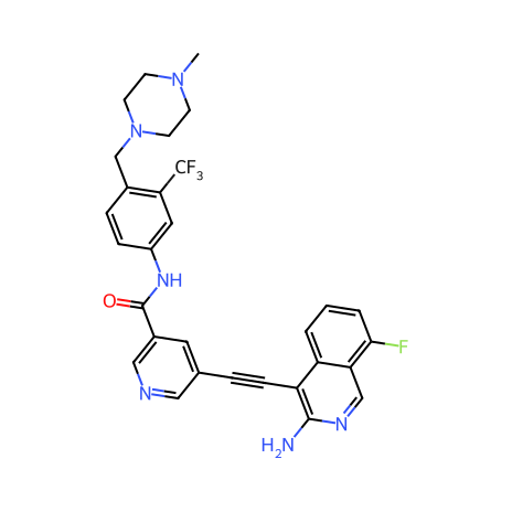 CN1CCN(Cc2ccc(NC(=O)c3cncc(C#Cc4c(N)ncc5c(F)cccc45)c3)cc2C(F)(F)F)CC1